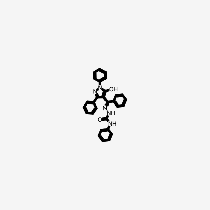 O=C(N/N=C(\c1ccccc1)c1c(-c2ccccc2)nn(-c2ccccc2)c1O)Nc1ccccc1